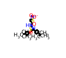 CC(C)(C)c1ccc(Oc2sc(NC(=O)c3ccc([N+](=O)[O-])s3)nc2-c2ccc(C(C)(C)C)cc2)cc1